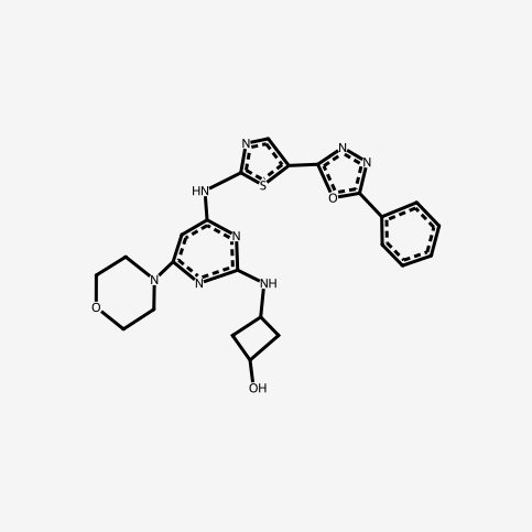 OC1CC(Nc2nc(Nc3ncc(-c4nnc(-c5ccccc5)o4)s3)cc(N3CCOCC3)n2)C1